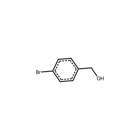 O[CH]c1ccc(Br)cc1